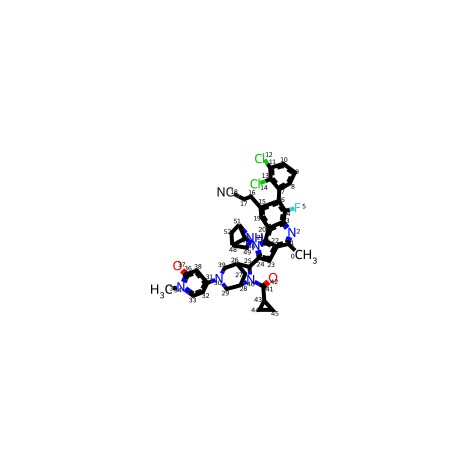 Cc1nc2c(F)c(-c3cccc(Cl)c3Cl)c(CCC#N)cc2c2c1cc(C1C3CC(CN(c4ccn(C)c(=O)c4)C3)N1C(=O)C1CC1)n2C1C2CNC1C2